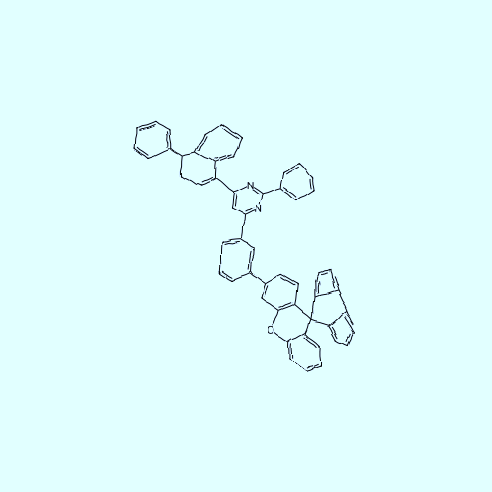 C1=C(c2cc(-c3cccc(-c4ccc5c(c4)Oc4ccccc4C54c5ccccc5-c5ccccc54)c3)nc(-c3ccccc3)n2)c2ccccc2C(c2ccccc2)C1